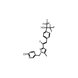 Cc1cc(C(F)=Cc2ccc(C(O)(C(F)(F)F)C(F)(F)F)cc2)nn1Cc1ccc(Cl)nc1